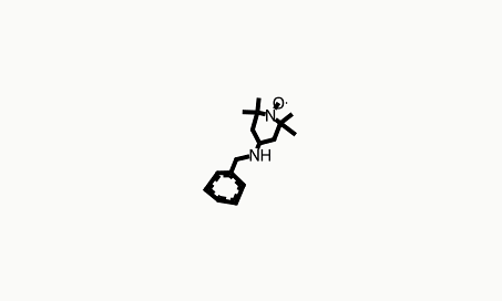 CC1(C)CC(NCc2ccccc2)CC(C)(C)N1[O]